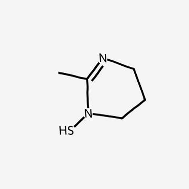 CC1=NCCCN1S